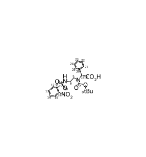 CC(C)(C)OC(=O)N(CCNS(=O)(=O)c1ccccc1[N+](=O)[O-])[C@H](C(=O)O)c1ccccc1